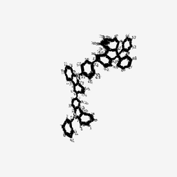 c1ccc(-n2c3ccccc3c3cc(-c4ccc5c(c4)c4ccccc4n5-c4ccc(-c5ccc6c(c5)-c5ccccc5C6(c5ccccc5)c5ccccc5)cc4)ccc32)cc1